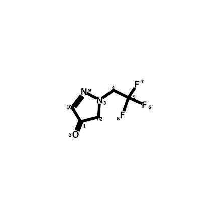 O=C1[C]N(CC(F)(F)F)N=[C]1